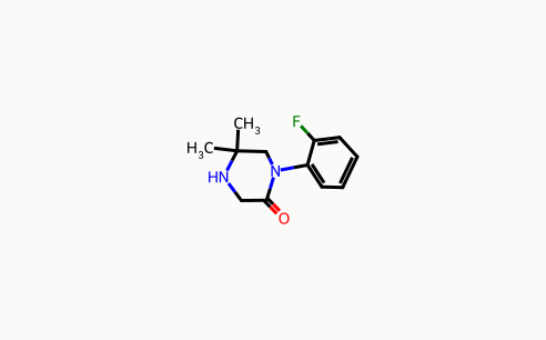 CC1(C)CN(c2ccccc2F)C(=O)CN1